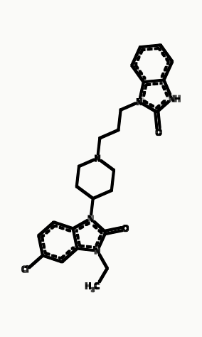 CCn1c(=O)n(C2CCN(CCCn3c(=O)[nH]c4ccccc43)CC2)c2ccc(Cl)cc21